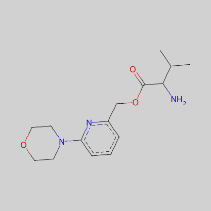 CC(C)C(N)C(=O)OCc1cccc(N2CCOCC2)n1